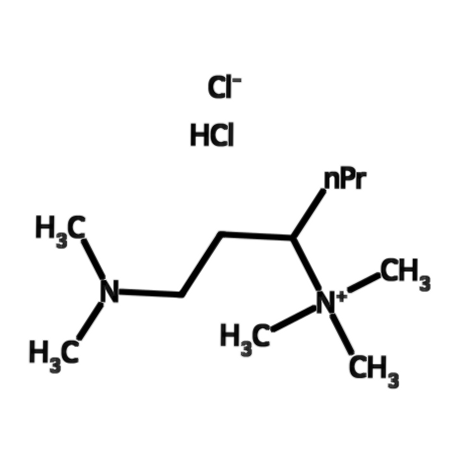 CCCC(CCN(C)C)[N+](C)(C)C.Cl.[Cl-]